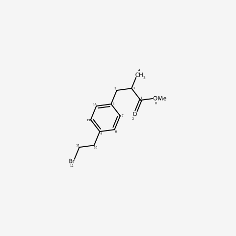 COC(=O)C(C)Cc1ccc(CCBr)cc1